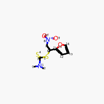 CN(C)C(=S)SC(C[N+](=O)[O-])c1ccco1